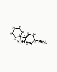 N#CC1C=CC(C2(O)CCCCC2)=CC1